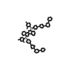 Cc1ccc(N(c2ccc(-c3ccc(-c4cccc(-c5ccccc5)c4)cc3)cc2)c2cc3c4ccccc4c(N(c4ccc(-c5ccc(-c6cccc(-c7ccccc7)c6)cc5)cc4)c4ccc(C)cc4C)cc3c3ccccc23)c(C)c1